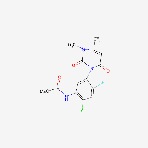 COC(=O)Nc1cc(-n2c(=O)cc(C(F)(F)F)n(C)c2=O)c(F)cc1Cl